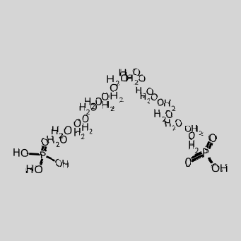 O.O.O.O.O.O.O.O.O.O.O.O.O.O.O.O.O.O.O=P(=O)O.O=P(O)(O)O